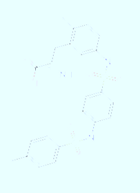 Cc1ccc(S(=O)(=O)Nc2ccc(S(=O)(=O)Nc3ccc(C)c(C[C@H](N)C(=O)O)c3)cc2)cc1